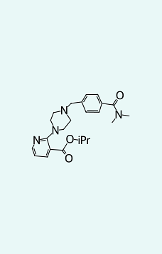 CC(C)OC(=O)c1cccnc1N1CCN(Cc2ccc(C(=O)N(C)C)cc2)CC1